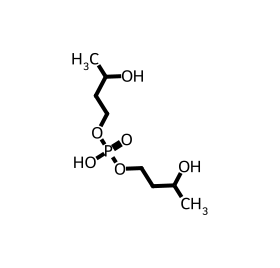 CC(O)CCOP(=O)(O)OCCC(C)O